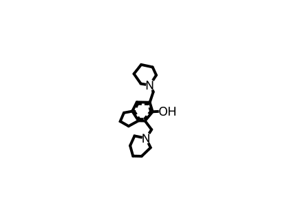 Oc1c(CN2CCCCC2)cc2c(c1CN1CCCCC1)CCC2